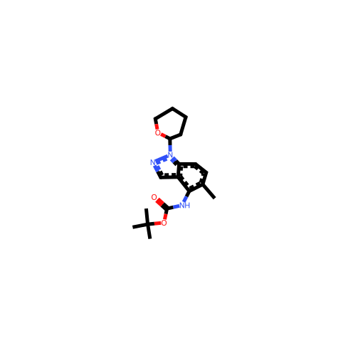 Cc1ccc2c(cnn2C2CCCCO2)c1NC(=O)OC(C)(C)C